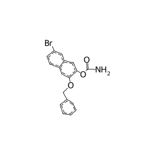 NC(=O)Oc1cc2cc(Br)ccc2cc1OCc1ccccc1